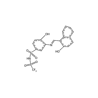 O=S(=O)(NS(=O)(=O)C(F)(F)F)c1ccc(O)c(N=Cc2c(O)ccc3ccccc23)c1